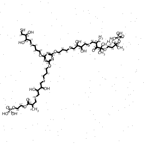 CC(CSCC(O)C(O)CSCCCOc1nc(OCCCSCC(O)C(O)CS)nc(OCCCSCC(O)C(O)CSCC(C)C(=O)C(C)(C)OCCC(C)(C)OP(=O)(O)O)n1)C(=O)OCCOP(=O)(O)O